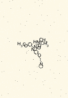 COc1cccc(-c2nc3ccc(OCCCCN4CCCCC4)cc3c(=O)n2CC(=O)NC(C)C)c1